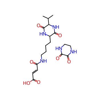 CC(C)C1NC(=O)C(CCCCNC(=O)/C=C/C(=O)O)NC1=O.O=C1NCCNC1=O